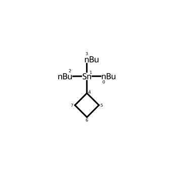 CCC[CH2][Sn]([CH2]CCC)([CH2]CCC)[CH]1CCC1